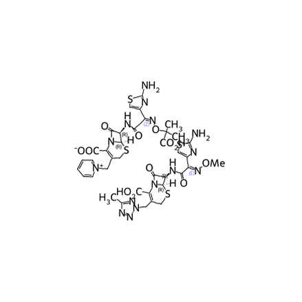 CC(C)(O/N=C(\C(=O)N[C@@H]1C(=O)N2C(C(=O)[O-])=C(C[n+]3ccccc3)CS[C@H]12)c1csc(N)n1)C(=O)O.CO/N=C(/C(=O)N[C@@H]1C(=O)N2C(C(=O)O)=C(Cn3nnc(C)n3)CS[C@H]12)c1csc(N)n1